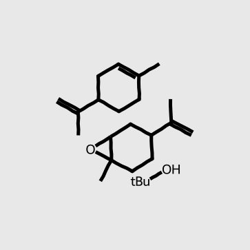 C=C(C)C1CC=C(C)CC1.C=C(C)C1CCC2(C)OC2C1.CC(C)(C)O